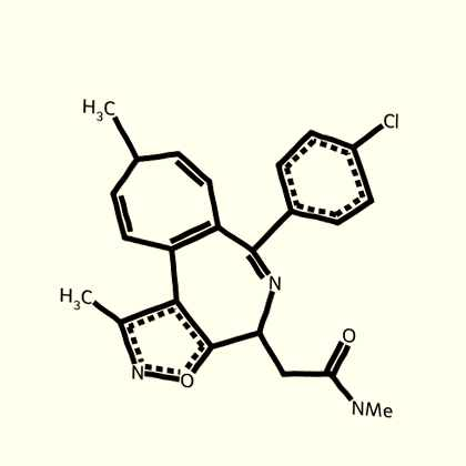 CNC(=O)CC1N=C(c2ccc(Cl)cc2)C2=C(C=CC(C)C=C2)c2c(C)noc21